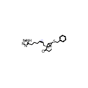 O=C1CC[C@@]23C(SCc4ccccc4)C2[C@@]13C/C=C\CCCc1nnn[nH]1